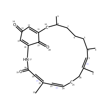 C/C1=C/C(C)CCCC(C)CC2=CC(=O)C=C(NC(=O)/C=C(C)\C=C/C[CH]1)C2=O